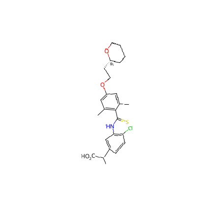 Cc1cc(OCC[C@H]2CCCCO2)cc(C)c1C(=S)Nc1cc(C(C)C(=O)O)ccc1Cl